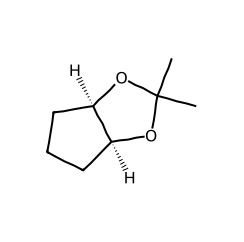 CC1(C)O[C@H]2CCC[C@H]2O1